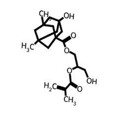 C=C(C)C(=O)OC(CO)COC(=O)C12CC3(C)CC(C)(CC(O)(C3)C1)C2